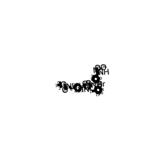 CC(C)(C)OC(=O)NC[C@H]1CC[C@H](C(=O)N[C@@H](Cc2cccc(Br)c2)C(=O)Nc2ccc(-c3noc(=O)[nH]3)cc2)CC1